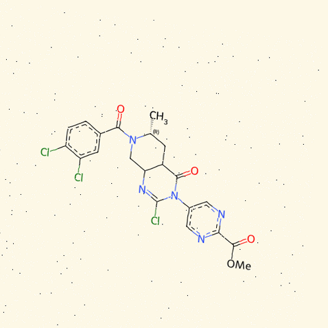 COC(=O)c1ncc(N2C(=O)C3C[C@@H](C)N(C(=O)c4ccc(Cl)c(Cl)c4)CC3N=C2Cl)cn1